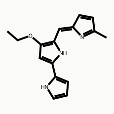 CCOc1cc(-c2ccc[nH]2)[nH]c1C=C1C=CC(C)=N1